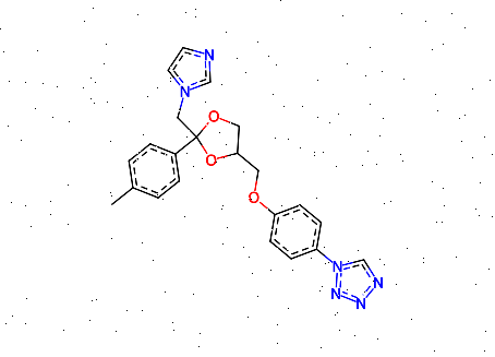 Cc1ccc(C2(Cn3ccnc3)OCC(COc3ccc(-n4cnnn4)cc3)O2)cc1